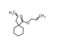 C=CCOC(=O)C1(CC=C)CCCCC1